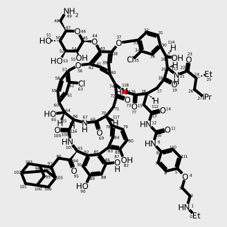 CCNCCOc1ccc(NC(=O)NC(=O)C[C@@H]2CC(=O)[C@H](NC(=O)[C@H](CC)CC(C)C)[C@H](O)c3ccc(c(Cl)c3)Oc3cc4cc(c3O[C@@H]3O[C@H](CN)[C@@H](O)[C@H](O)[C@H]3O)Oc3ccc(cc3Cl)[C@@H](O)[C@@H]3NC(=O)[C@H](CC(=O)[C@@H]4NC2=O)c2ccc(O)c(c2)-c2c(O)cc(O)cc2[C@@H](C(=O)CC2C4CC5CC(C4)CC2C5)NC3=O)cc1